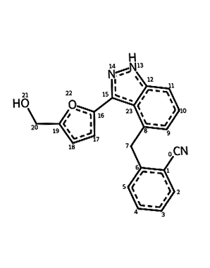 N#Cc1ccccc1Cc1cccc2[nH]nc(-c3ccc(CO)o3)c12